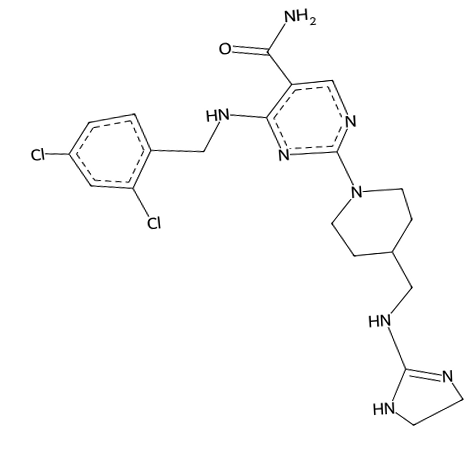 NC(=O)c1cnc(N2CCC(CNC3=NCCN3)CC2)nc1NCc1ccc(Cl)cc1Cl